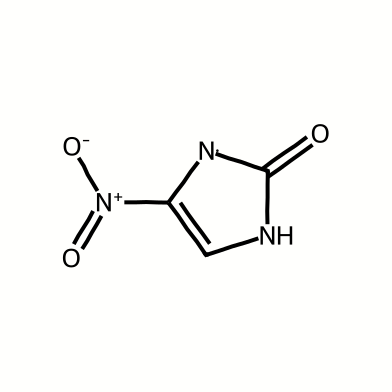 O=C1[N]C([N+](=O)[O-])=CN1